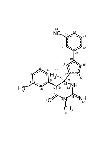 Cc1cccc([C@@H]2C(=O)N(C)C(=N)N[C@]2(C)c2cc(-c3cccc(C#N)c3)cs2)c1